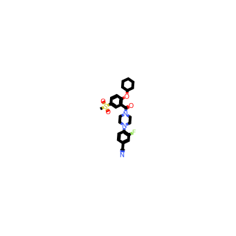 CS(=O)(=O)c1ccc(OC2CCCCC2)c(C(=O)N2CCN(c3ccc(C#N)cc3F)CC2)c1